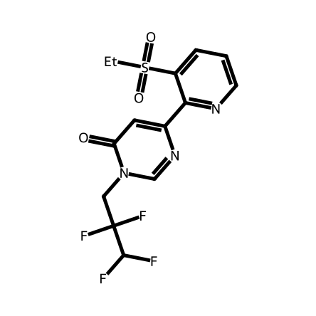 CCS(=O)(=O)c1cccnc1-c1cc(=O)n(CC(F)(F)C(F)F)cn1